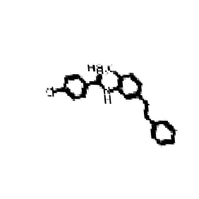 O=C(Nc1cc(CCc2ccccc2)ccc1C(=O)O)c1ccc(Cl)cc1